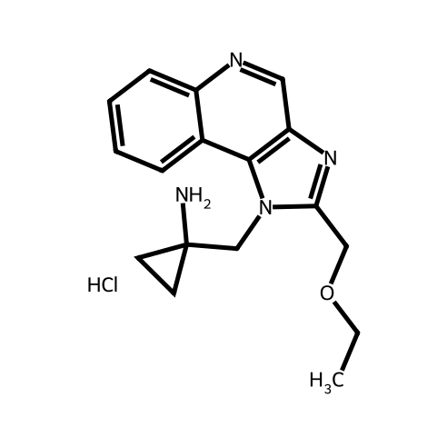 CCOCc1nc2cnc3ccccc3c2n1CC1(N)CC1.Cl